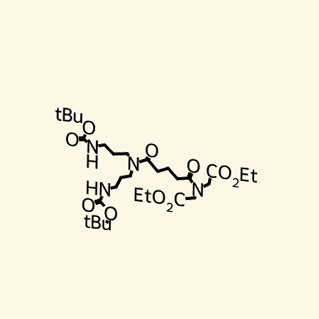 CCOC(=O)CN(CC(=O)OCC)C(=O)CCCC(=O)N(CCCNC(=O)OC(C)(C)C)CCCNC(=O)OC(C)(C)C